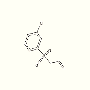 C=CCS(=O)(=O)c1cccc(Cl)c1